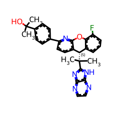 CC(C)(O)c1ccc(-c2ccc3c(n2)Oc2c(F)cccc2[C@@H]3C(C)(C)c2nc3nccnc3[nH]2)cc1